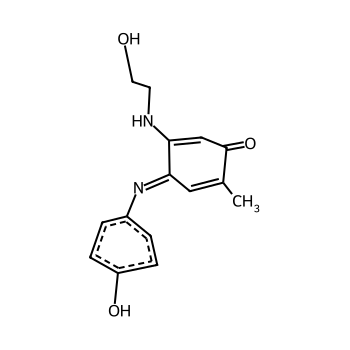 CC1=CC(=Nc2ccc(O)cc2)C(NCCO)=CC1=O